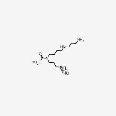 Cl.Cl.Cl.NCCCNCCCCN(CCCN)C(=O)C(=O)O